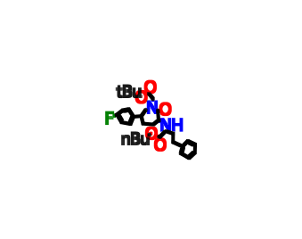 CCCCOC(=O)C(CCc1ccccc1)NC1CCC(c2ccc(F)cc2)CN(CC(=O)OC(C)(C)C)C1=O